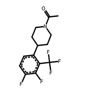 CC(=O)N1CCC(c2ccc(F)c(F)c2C(F)(F)F)CC1